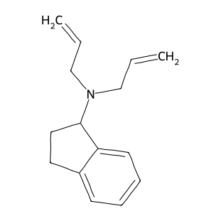 C=CCN(CC=C)C1CCc2ccccc21